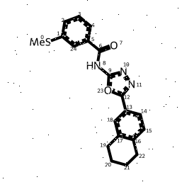 CSc1cccc(C(=O)Nc2nnc(-c3ccc4c(c3)CCCC4)o2)c1